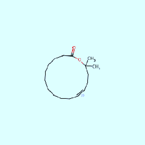 CC1(C)CC/C=C\CCCCCCCCCC(=O)O1